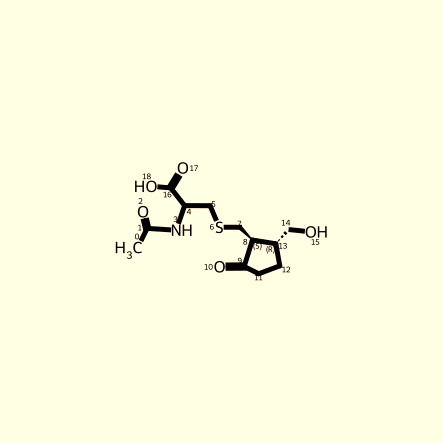 CC(=O)NC(CSC[C@@H]1C(=O)CC[C@H]1CO)C(=O)O